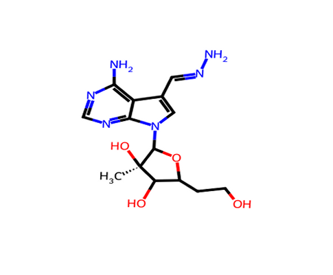 C[C@@]1(O)C(O)C(CCO)OC1n1cc(/C=N/N)c2c(N)ncnc21